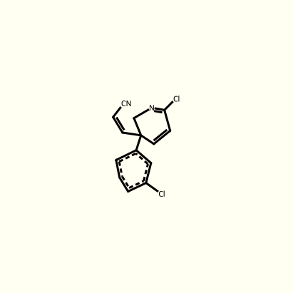 N#C/C=C\C1(c2cccc(Cl)c2)C=CC(Cl)=NC1